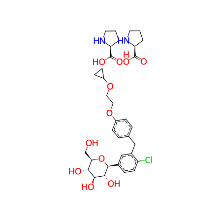 O=C(O)[C@@H]1CCCN1.O=C(O)[C@@H]1CCCN1.OC[C@H]1O[C@@H](c2ccc(Cl)c(Cc3ccc(OCCOC4CC4)cc3)c2)[C@H](O)[C@@H](O)[C@@H]1O